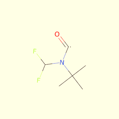 CC(C)(C)N([C]=O)C(F)F